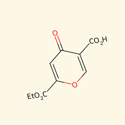 CCOC(=O)c1cc(=O)c(C(=O)O)co1